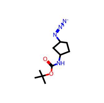 CC(C)(C)OC(=O)NC1CCC(N=[N+]=[N-])C1